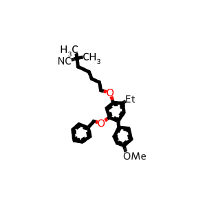 CCc1cc(-c2ccc(OC)cc2)c(OCc2ccccc2)cc1OCCCCCC(C)(C)C#N